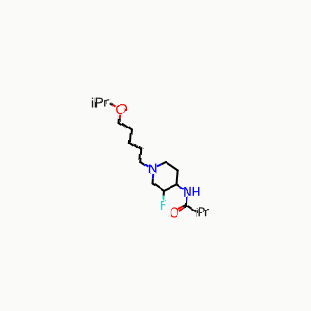 CC(C)OCCCCCN1CCC(NC(=O)C(C)C)C(F)C1